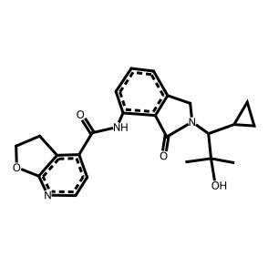 CC(C)(O)C(C1CC1)N1Cc2cccc(NC(=O)c3ccnc4c3CCO4)c2C1=O